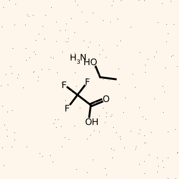 CCO.N.O=C(O)C(F)(F)F